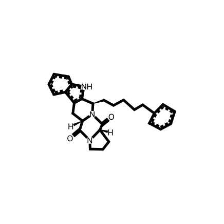 O=C1[C@@H]2Cc3c([nH]c4ccccc34)[C@@H](CCCCCc3ccccc3)N2C(=O)[C@@H]2CCCN12